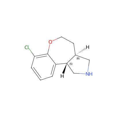 Clc1cccc2c1OCC[C@H]1CNC[C@H]21